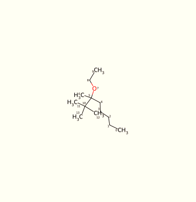 CCCCCC(C)(OCC)C(C)(C)C